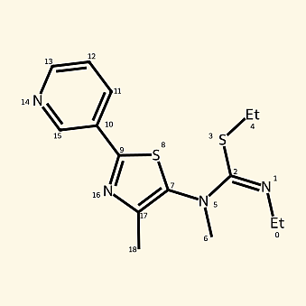 CC/N=C(/SCC)N(C)c1sc(-c2cccnc2)nc1C